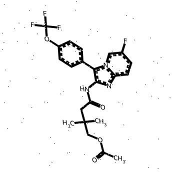 CC(=O)OCC(C)(C)CC(=O)Nc1nc2ccc(F)cn2c1-c1ccc(OC(F)(F)F)cc1